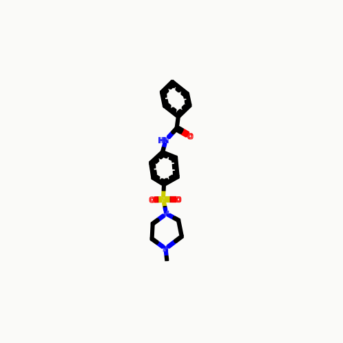 CN1CCN(S(=O)(=O)c2ccc(NC(=O)c3ccccc3)cc2)CC1